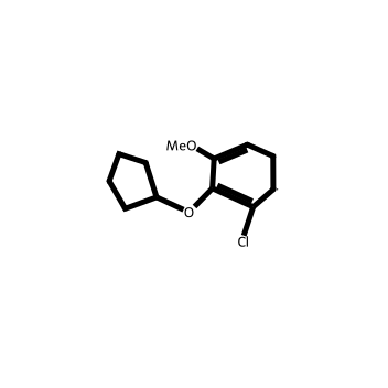 COC1=CC[CH]C(Cl)=C1OC1CCCC1